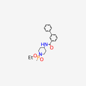 CCOP(C)(=O)N1CCC(NC(=O)c2cccc(-c3ccccc3)c2)CC1